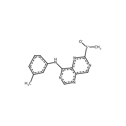 Cc1cccc(Nc2ncnc3cnc([S+](C)[O-])nc23)c1